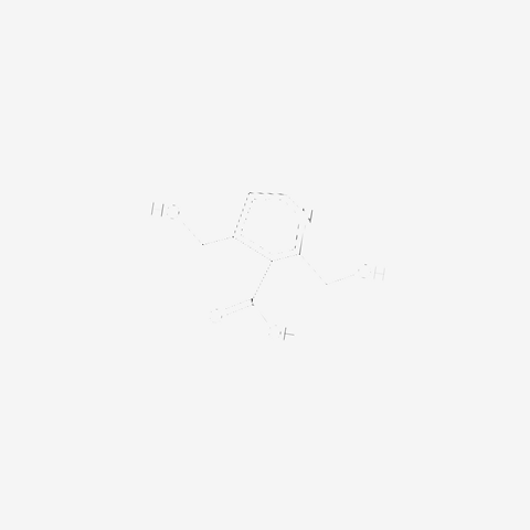 O=C(O)c1c(CO)ccnc1CO